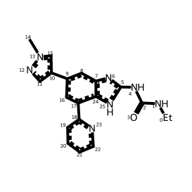 CCNC(=O)Nc1nc2cc(-c3cnn(C)c3)cc(-c3ccccn3)c2[nH]1